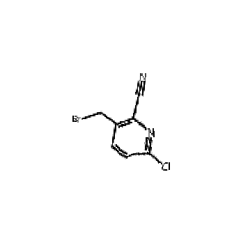 N#Cc1nc(Cl)ccc1CBr